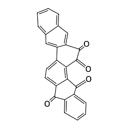 O=c1c(=O)c2c(ccc3c(=O)c4ccccc4c(=O)c32)c2cc3ccccc3cc12